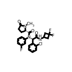 CN1C(=O)CC[C@H]1C(=O)N(c1cccc(F)c1)[C@H](C(=O)NC1CC(F)(F)C1)c1ccccc1Cl